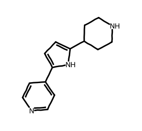 c1cc(-c2ccc(C3CCNCC3)[nH]2)ccn1